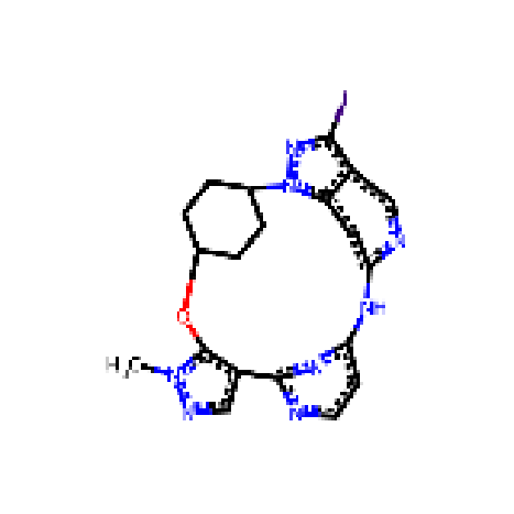 Cn1ncc2c1OC1CCC(CC1)n1nc(I)c3cnc(cc31)Nc1ccnc-2n1